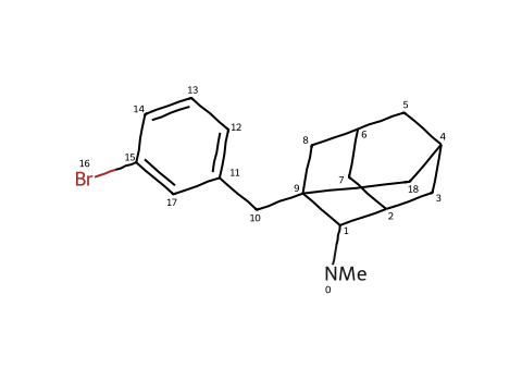 CNC1C2CC3CC(C2)CC1(Cc1cccc(Br)c1)C3